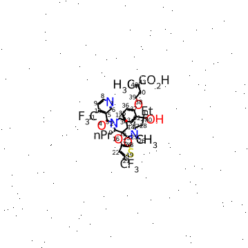 CCC[C@H]1N(C(=O)c2cnccc2C(F)(F)F)CCC[C@@]1(Oc1csc(C(F)(F)F)c1)C(=O)N(C)CCC(O)(CC)c1ccccc1OCCC(C)C(=O)O